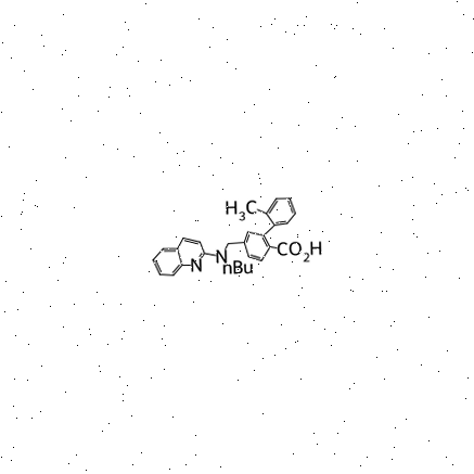 CCCCN(Cc1ccc(C(=O)O)c(-c2ccccc2C)c1)c1ccc2ccccc2n1